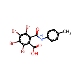 Cc1ccc(NC(=O)c2c(Br)c(Br)c(Br)c(Br)c2C(=O)O)cc1